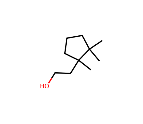 CC1(C)CCCC1(C)CCO